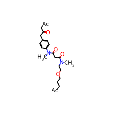 CC(=O)CCCOCCN(C)C(=O)CC(=O)N(C)c1ccc(CC(=O)CC(C)=O)cc1